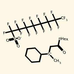 CCCCCCC(=O)C[S+](C)C1CCCCC1.O=S(=O)([O-])C(F)(F)C(F)(F)C(F)(F)C(F)(F)C(F)(F)C(F)(F)C(F)(F)C(F)(F)F